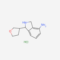 Cl.Nc1cccc2c1CNC2C1CCOC1